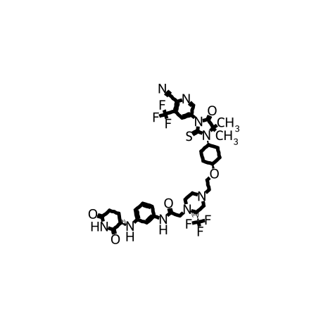 CC1(C)C(=O)N(c2cnc(C#N)c(C(F)(F)F)c2)C(=S)N1[C@H]1CC[C@H](OCCN2CCN(CC(=O)Nc3cccc(N[C@@H]4CCC(=O)NC4=O)c3)[C@@H](C(F)(F)F)C2)CC1